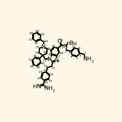 CCCCN(Cc1ccc(CN)cc1)C(=O)c1ccc2c(c1)nc(CCc1ccc(C(=N)N)cc1)n2CC1(c2ccccc2)CCN(Cc2ccccc2)CC1